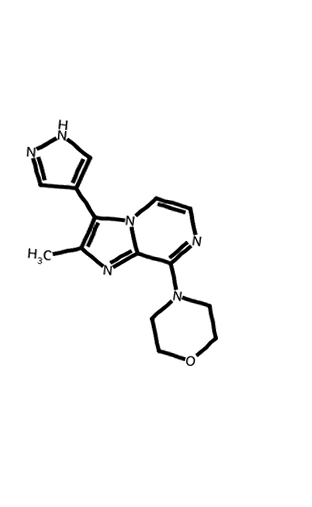 Cc1nc2c(N3CCOCC3)nccn2c1-c1cn[nH]c1